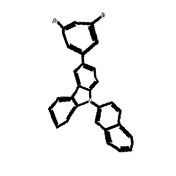 Brc1cc(Br)cc(-c2ccc3c(c2)c2ccccc2n3-c2ccc3ccccc3c2)c1